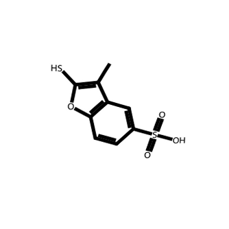 Cc1c(S)oc2ccc(S(=O)(=O)O)cc12